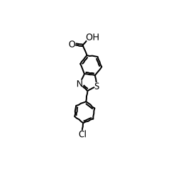 O=C(O)c1ccc2sc(-c3ccc(Cl)cc3)nc2c1